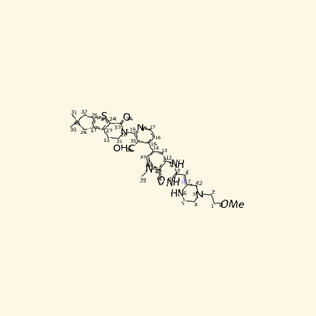 COCCN1CCN/C(=C\C(=N)Nc2cc(-c3ccnc(N4CCc5c(sc6c5CC(C)(C)C6)C4=O)c3C=O)cn(C)c2=O)C1